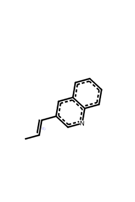 C/C=C/c1cnc2ccccc2c1